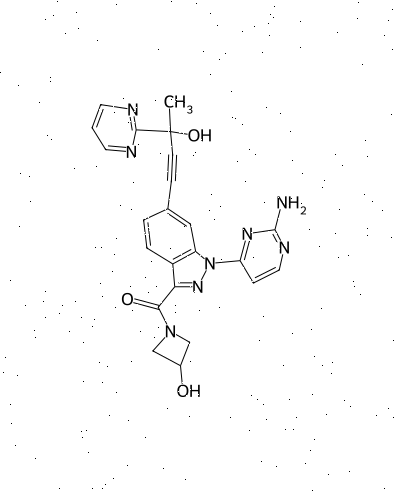 CC(O)(C#Cc1ccc2c(C(=O)N3CC(O)C3)nn(-c3ccnc(N)n3)c2c1)c1ncccn1